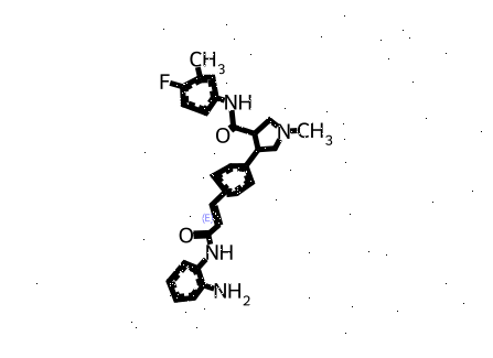 Cc1cc(NC(=O)C2CN(C)CC2c2ccc(/C=C/C(=O)Nc3ccccc3N)cc2)ccc1F